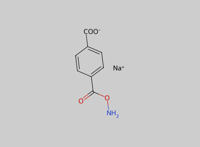 NOC(=O)c1ccc(C(=O)[O-])cc1.[Na+]